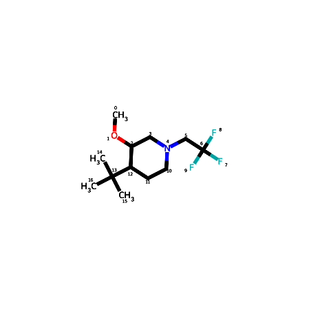 COC1CN(CC(F)(F)F)CCC1C(C)(C)C